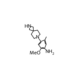 COc1cc(N2CCC3(CC2)CNC3)c(C)cc1N